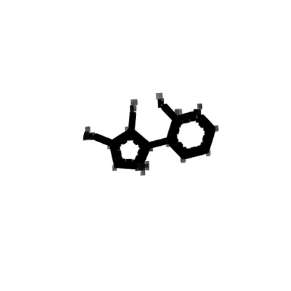 CC(=O)c1c[nH]c(-c2cccnc2F)c1F